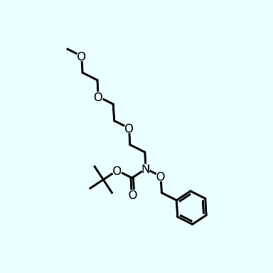 COCCOCCOCCN(OCc1ccccc1)C(=O)OC(C)(C)C